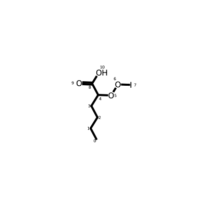 CCCCC(OOI)C(=O)O